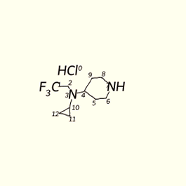 Cl.FC(F)(F)CN(C1CCNCC1)C1CC1